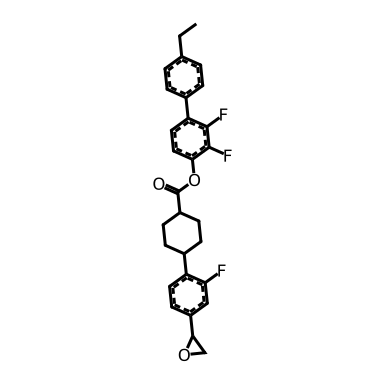 CCc1ccc(-c2ccc(OC(=O)C3CCC(c4ccc(C5CO5)cc4F)CC3)c(F)c2F)cc1